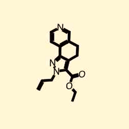 C=CCn1nc2c(c1C(=O)OCC)CCc1cnccc1-2